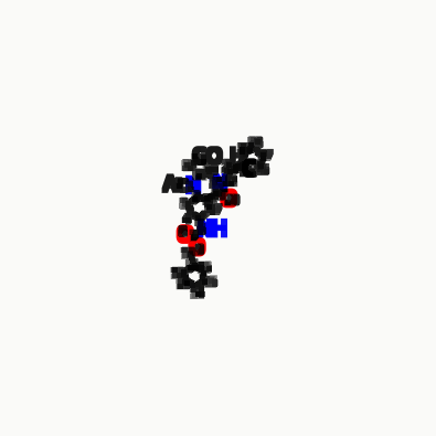 CC(=O)N1c2ccc(NC(=O)OCc3ccccc3)cc2C(=O)N(CCc2ccccc2)C[C@H]1CC(=O)O